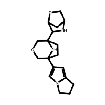 c1c(C23CCC(C4NC5COC4C5)(COC2)N3)cn2c1CCC2